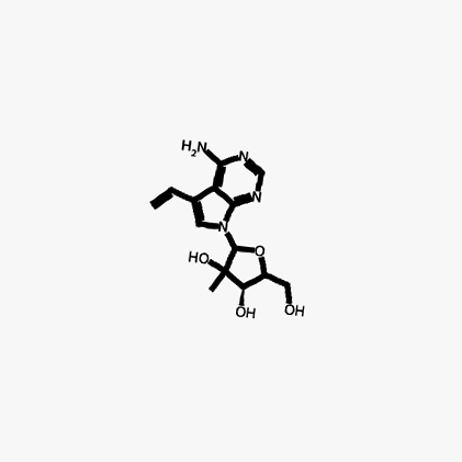 C=Cc1cn(C2OC(CO)[C@@H](O)C2(C)O)c2ncnc(N)c12